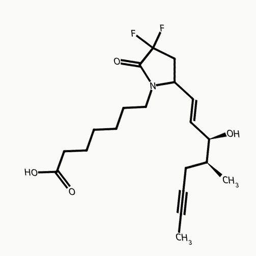 CC#CC[C@H](C)[C@H](O)C=CC1CC(F)(F)C(=O)N1CCCCCCC(=O)O